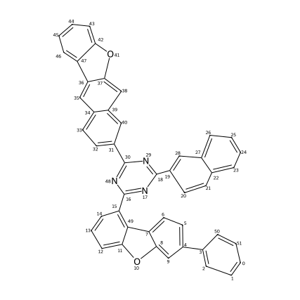 c1ccc(-c2ccc3c(c2)oc2cccc(-c4nc(-c5ccc6ccccc6c5)nc(-c5ccc6cc7c(cc6c5)oc5ccccc57)n4)c23)cc1